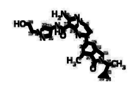 Cc1cc(-c2ccn3nc(N)c(C(=O)Nc4cnn(CCO)c4)c3n2)cc2c1C(=O)N(C(C)C1CC1)C2